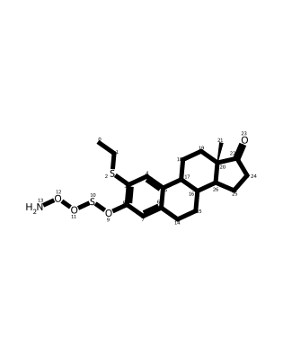 CCSc1cc2c(cc1OSOON)CCC1C2CC[C@]2(C)C(=O)CCC12